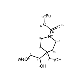 COCC(O)C1(CO)CCN(C(=O)OC(C)(C)C)CC1